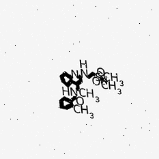 Cc1ccccc1C(=O)NC(C)c1cc(NCCS(=O)(=O)N(C)C)nc2ccccc12